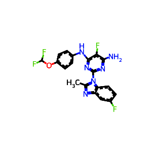 Cc1nc2cc(F)ccc2n1-c1nc(N)c(F)c(Nc2ccc(OC(F)F)cc2)n1